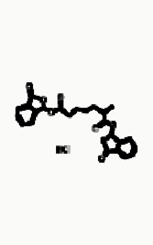 CC(CCCCC(=O)OC1OC(=O)c2ccccc21)C(=O)OC1OC(=O)c2ccccc21.Cl